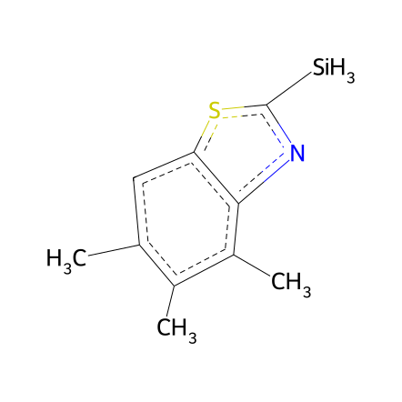 Cc1cc2sc([SiH3])nc2c(C)c1C